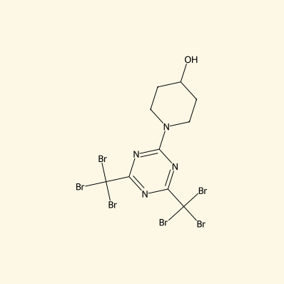 OC1CCN(c2nc(C(Br)(Br)Br)nc(C(Br)(Br)Br)n2)CC1